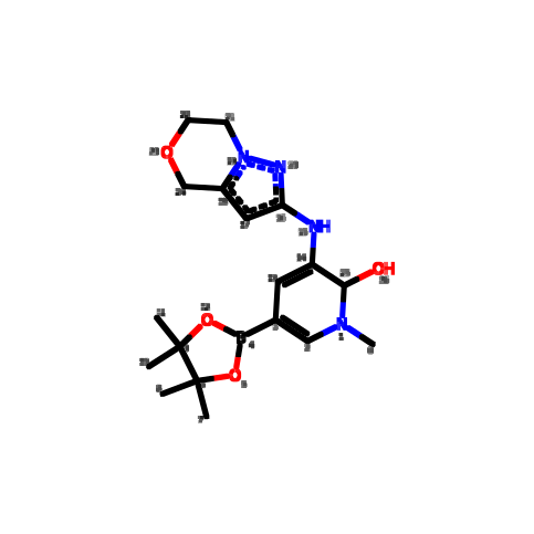 CN1C=C(B2OC(C)(C)C(C)(C)O2)C=C(Nc2cc3n(n2)CCOC3)C1O